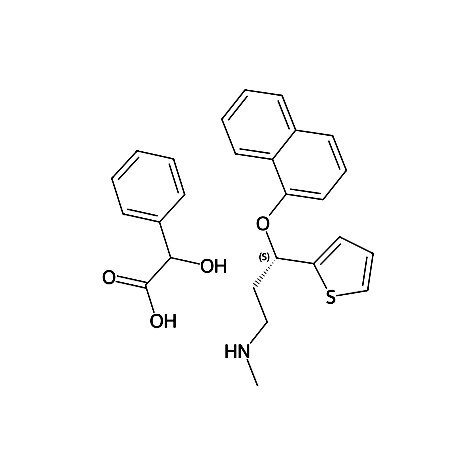 CNCC[C@H](Oc1cccc2ccccc12)c1cccs1.O=C(O)C(O)c1ccccc1